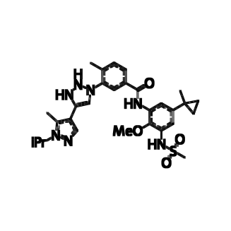 COc1c(NC(=O)c2ccc(C)c(N3C=C(c4cnn(C(C)C)c4C)NN3)c2)cc(C2(C)CC2)cc1NS(C)(=O)=O